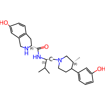 CC(C)[C@@H](CN1CCC(c2cccc(O)c2)[C@@H](C)C1)NC(=O)[C@H]1Cc2ccc(O)cc2CN1